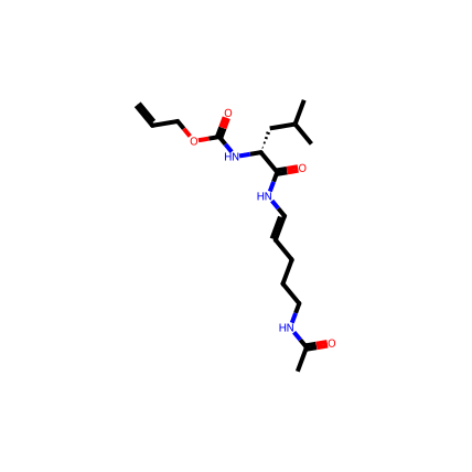 C=CCOC(=O)N[C@H](CC(C)C)C(=O)N/C=C/CCCNC(C)=O